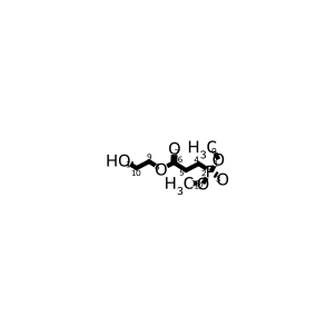 COP(=O)(CCC(=O)OCCO)OC